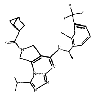 Cc1c([C@@H](C)Nc2nc3nnc(C(C)C)n3c3c2CN(C(=O)C24CC(C2)C4)C3)cccc1C(F)(F)F